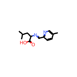 Cc1ccc(C=NC(CC(C)C)C(=O)O)nc1